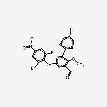 COc1c(C=O)cc(Oc2c(Br)cc([N+](=O)[O-])cc2Br)cc1-c1ccc(Cl)cc1